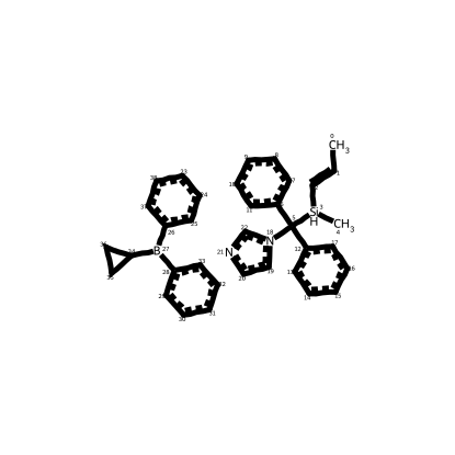 CC=C[SiH](C)C(c1ccccc1)(c1ccccc1)n1ccnc1.c1ccc(B(c2ccccc2)C2CC2)cc1